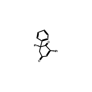 CC(C)C1=CC(=O)CC(c2ccccc2)(C(C)C)C1=O